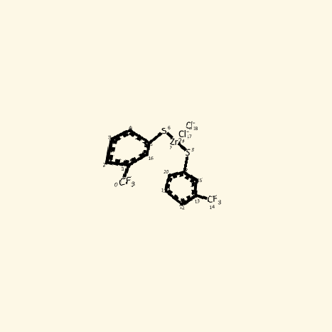 FC(F)(F)c1cccc([S][Zr+2][S]c2cccc(C(F)(F)F)c2)c1.[Cl-].[Cl-]